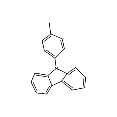 Cc1[c]cc(-n2c3ccccc3c3ccccc32)cc1